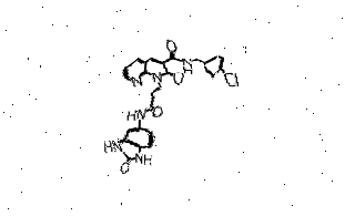 O=C(CCn1c(=O)c(C(=O)NCc2ccc(Cl)cc2)cc2cccnc21)Nc1ccc2[nH]c(=O)[nH]c2c1